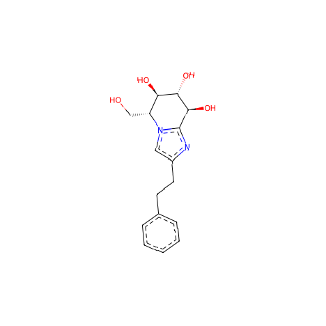 OC[C@@H]1[C@@H](O)[C@H](O)[C@@H](O)c2nc(CCc3ccccc3)cn21